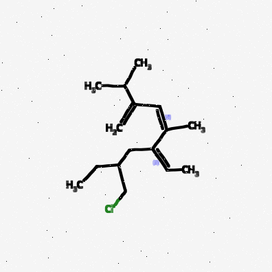 C=C(/C=C(C)\C(=C/C)CC(CC)CCl)C(C)C